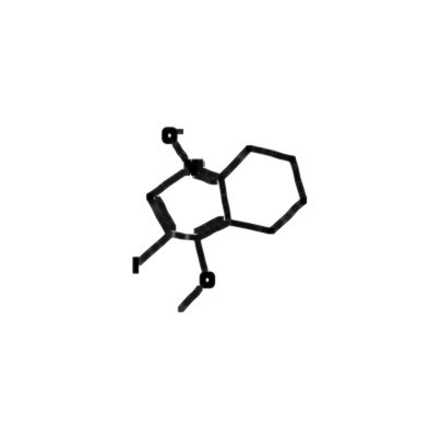 COc1c(I)c[n+]([O-])c2c1CCCC2